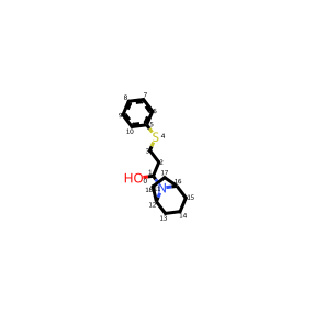 OC(CCSc1ccccc1)N1C2CCCC1CC2